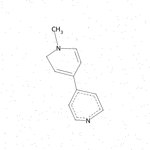 CN1C=CC(c2ccncc2)=CC1